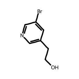 OCCc1cncc(Br)c1